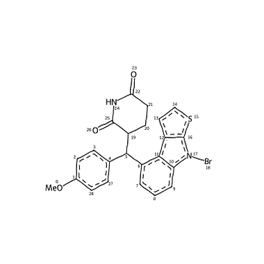 COc1ccc(C(c2cccc3c2c2ccsc2n3Br)C2CCC(=O)NC2=O)cc1